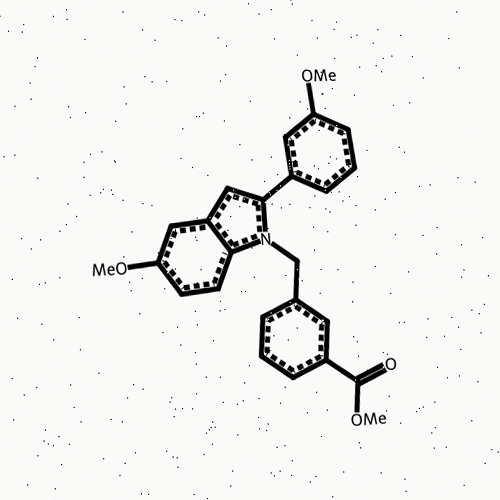 COC(=O)c1cccc(Cn2c(-c3cccc(OC)c3)cc3cc(OC)ccc32)c1